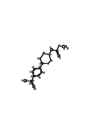 CCC(=O)OC1CCN(c2ccc([N+](=O)[O-])cc2)CC1